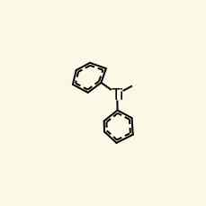 [CH3][Ti]([c]1ccccc1)[c]1ccccc1